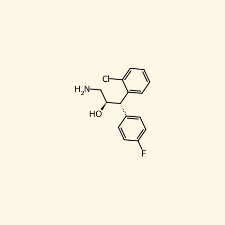 NC[C@H](O)[C@@H](c1ccc(F)cc1)c1ccccc1Cl